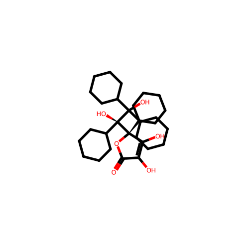 O=C1O[C@](C2CCCCC2)([C@](O)(C2CCCCC2)C(O)(C2CCCCC2)C2CCCCC2)C(O)=C1O